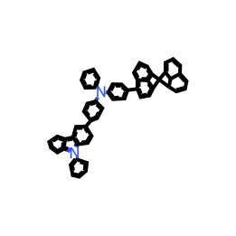 C1=CC2=CC=CC3C2C(=C1)C31c2cccc3c(-c4ccc(N(c5ccccc5)c5ccc(-c6ccc7c(c6)c6ccccc6n7-c6ccccc6)cc5)cc4)ccc1c23